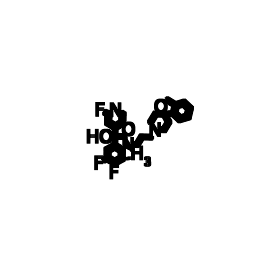 CN(CCCN1CCC2(CC1)OCc1ccccc12)C(=O)C(O)(c1ccnc(F)c1)c1ccc(F)c(F)c1